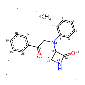 C.O=C(CN(c1ccccc1)C1CNC1=O)c1ccccc1